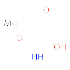 N.O=C([O-])O.[Mg+]